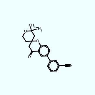 CC1(C)CC2(CCO1)CC(=O)c1cc(-c3cccc(C#N)c3)ccc1O2